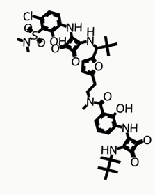 CN(CCc1ccc(C(Nc2c(Nc3ccc(Cl)c(S(=O)(=O)N(C)C)c3O)c(=O)c2=O)C(C)(C)C)o1)C(=O)c1cccc(Nc2c(NC(C)(C)C(C)(C)C)c(=O)c2=O)c1O